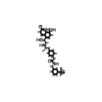 C[C@H](Cc1ccc(CC(=O)NCc2cccc(C(F)(F)F)c2)cc1)NC[C@H](O)c1ccc(O)c2[nH]c(=O)ccc12